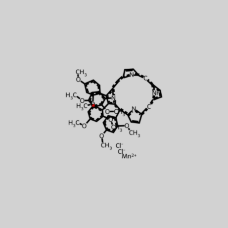 COc1ccc(-c2c(-c3ccc(OC)cc3OC)c3c(-c4ccc(OC)cc4OC)c4nc(cc5ccc(cc6nc(cc2n3-c2ccc(OC)cc2OC)C=C6)[nH]5)C=C4)c(OC)c1.[Cl-].[Cl-].[Mn+2]